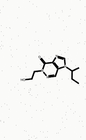 CCC(C)n1cnc2c(=O)n(CCO)ncc21